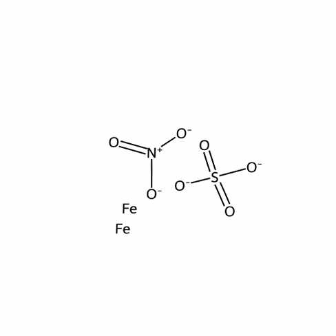 O=S(=O)([O-])[O-].O=[N+]([O-])[O-].[Fe].[Fe]